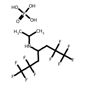 CC(C)NC(CC(F)(F)C(F)(F)F)CC(F)(F)C(F)(F)F.O=P(O)(O)O